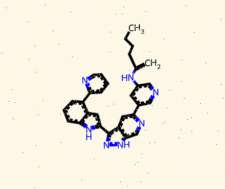 C=C(CCCC)Nc1cncc(-c2cc3c(-c4cc5c(-c6ccccn6)cccc5[nH]4)n[nH]c3cn2)c1